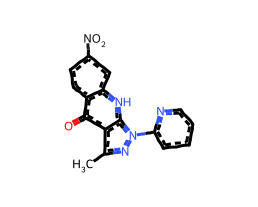 Cc1nn(-c2ccccn2)c2[nH]c3cc([N+](=O)[O-])ccc3c(=O)c12